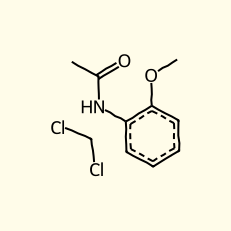 COc1ccccc1NC(C)=O.ClCCl